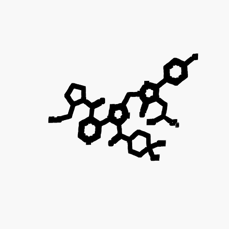 COCC1CCCN1C(=O)c1ccncc1-n1nc(Cn2nc(-c3ccc(Cl)cc3)n(C[C@H](O)C(F)(F)F)c2=O)nc1C(=O)N1CCS(O)(O)CC1